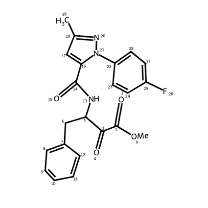 COC(=O)C(=O)C(Cc1ccccc1)NC(=O)c1cc(C)nn1-c1ccc(F)cc1